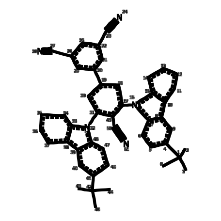 CC(C)(C)c1ccc2c(c1)c1ccccc1n2-c1cc(-c2cc(C#N)cc(C#N)c2)cc(-n2c3ccccc3c3cc(C(C)(C)C)ccc32)c1C#N